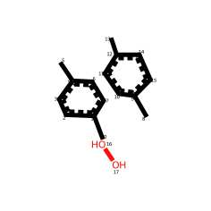 Cc1ccc(C)cc1.Cc1ccc(C)cc1.OO